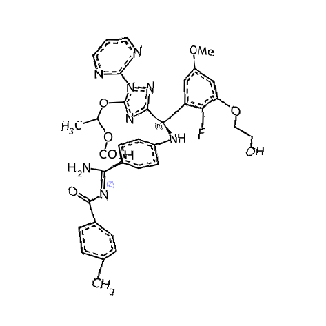 COc1cc(OCCO)c(F)c([C@@H](Nc2ccc(/C(N)=N/C(=O)c3ccc(C)cc3)cc2)c2nc(OC(C)OC(=O)O)n(-c3ncccn3)n2)c1